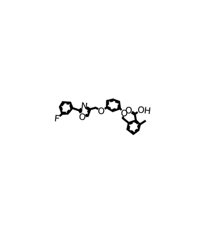 Cc1cccc(COc2cccc(OCc3coc(-c4cccc(F)c4)n3)c2)c1C(=O)O